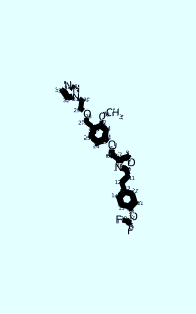 COc1cc(OCc2coc(C=Cc3ccc(OC(F)F)cc3)n2)ccc1COCCn1ccnn1